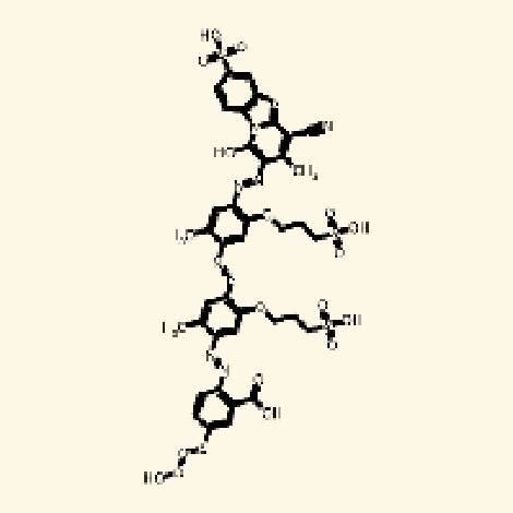 Cc1cc(N=Nc2c(C)c(C#N)c3nc4cc(S(=O)(=O)O)ccc4n3c2O)c(OCCCS(=O)(=O)O)cc1N=Nc1cc(C)c(N=Nc2ccc(SOOO)cc2C(=O)O)cc1OCCCS(=O)(=O)O